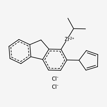 C[CH](C)[Zr+2][c]1c(C2C=CC=C2)ccc2c1Cc1ccccc1-2.[Cl-].[Cl-]